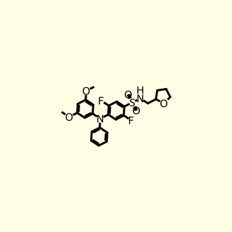 COc1cc(OC)cc(N(c2ccccc2)c2cc(F)c(S(=O)(=O)NCC3CCCO3)cc2F)c1